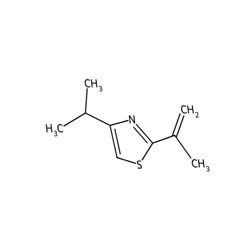 C=C(C)c1nc(C(C)C)cs1